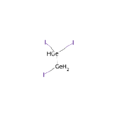 [I][GeH2][GeH]([I])[I]